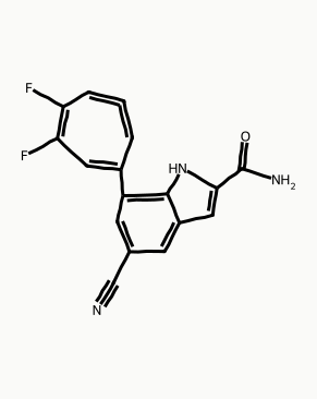 N#Cc1cc(C2=CC(F)=C(F)C=C=C2)c2[nH]c(C(N)=O)cc2c1